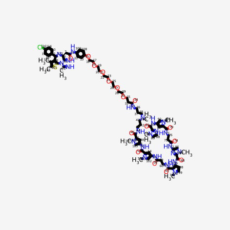 CC(=N)N1C(=N)[C@H](CC(=O)Nc2ccc(OCCOCCOCCOCCOCCOCCC(=O)NCCCN(C)CCCNC(=O)c3cc(NC(=O)c4cc(NC(=O)CCNC(=O)c5c(NC(=O)c6nc(NC(=O)CCNC(=O)c7cc(NC(=O)c8nccn8C)cn7C)cn6C)ccn5C)cn4C)cn3C)cc2)N=C(c2ccc(Cl)cc2)c2c1sc(C)c2C